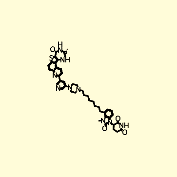 C[C@@H]1CNc2c(sc3ccc4nc(-c5cncc(N6CCN(CCCCCCCCc7cccc8c7n(C)c(=O)n8C7CCC(=O)NC7=O)CC6)c5)ccc4c23)C(=O)N1